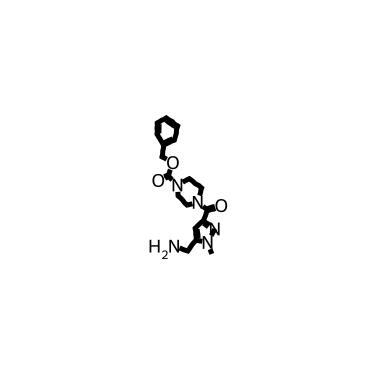 Cn1nc(C(=O)N2CCN(C(=O)OCc3ccccc3)CC2)cc1CN